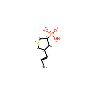 CC/C=C/C1CSCC(P(=O)(O)O)C1